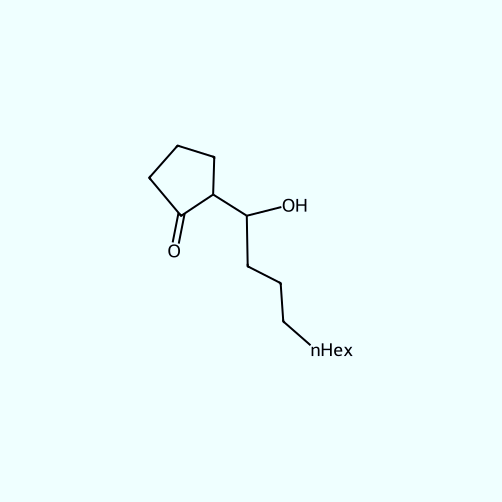 CCCCCCCCCC(O)C1CCCC1=O